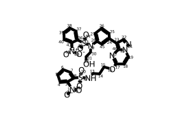 O=[N+]([O-])c1ccccc1S(=O)(=O)NCCCOc1ccn2ncc(-c3cccc(N(CCO)S(=O)(=O)c4ccccc4[N+](=O)[O-])c3)c2n1